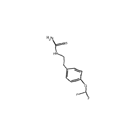 NC(=S)NCCc1ccc(OC(F)F)cc1